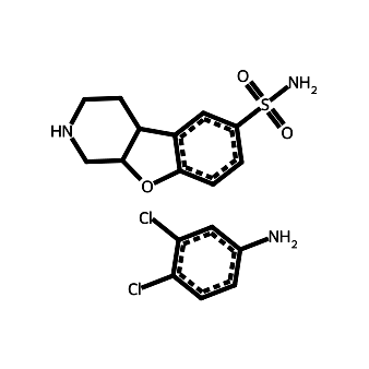 NS(=O)(=O)c1ccc2c(c1)C1CCNCC1O2.Nc1ccc(Cl)c(Cl)c1